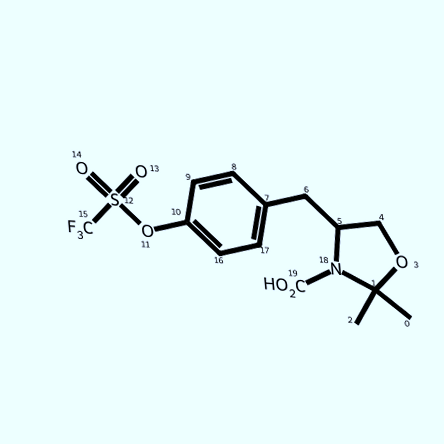 CC1(C)OCC(Cc2ccc(OS(=O)(=O)C(F)(F)F)cc2)N1C(=O)O